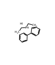 CCPCC.I.c1ccc(-c2ccccc2)cc1